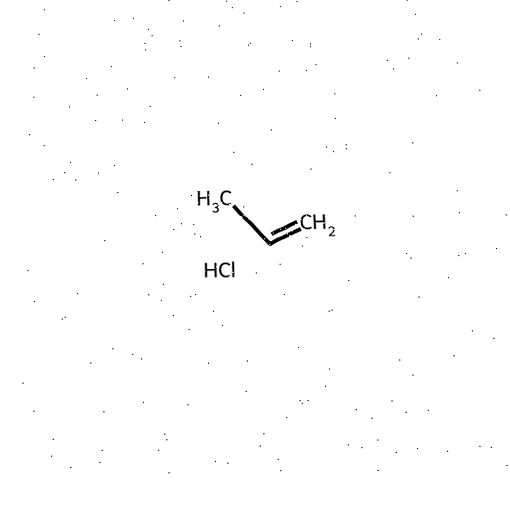 C=CC.Cl